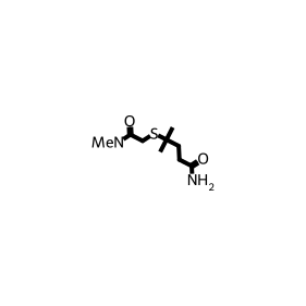 CNC(=O)CSC(C)(C)CCC(N)=O